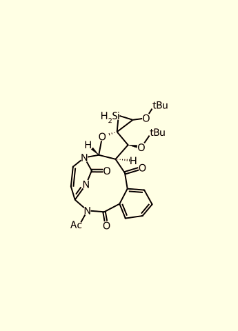 CC(=O)N1C(=O)c2ccccc2C(=O)[C@H]2[C@@H](O[C@@]3([SiH2]C3OC(C)(C)C)[C@H]2OC(C)(C)C)n2ccc1nc2=O